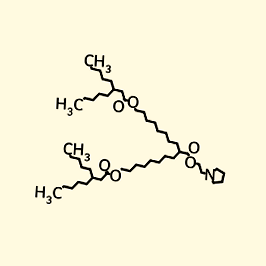 CCCCCC(CCCCC)CC(=O)OCCCCCCCCC(CCCCCCCCOC(=O)CC(CCCCC)CCCCC)C(=O)OCCN1CCCC1